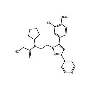 COc1ccc(-c2nc(-c3ccncc3)nn2CCN(C(=O)CC#N)C2CCCC2)cc1Cl